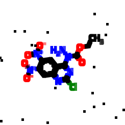 CCOC(=O)N(N)c1nc(Cl)nc2cc([N+](=O)[O-])c([N+](=O)[O-])cc12